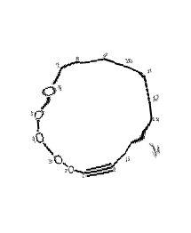 C1#COOOOOCCCCCCCCC1